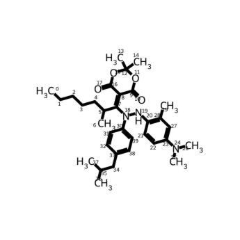 CCCCCC(C)C(=C1C(=O)OC(C)(C)OC1=O)N(Nc1ccc(N(C)C)cc1C)c1ccc(CC(C)C)cc1